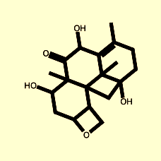 CC1=C2C(O)C(=O)C3(C)C(O)CC4OCC4C34CC(O)(CC1)C24C